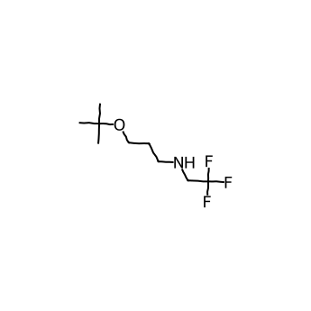 CC(C)(C)OCCCNCC(F)(F)F